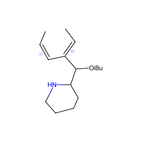 C/C=C\C(=C/C)C(OCC(C)C)C1CCCCN1